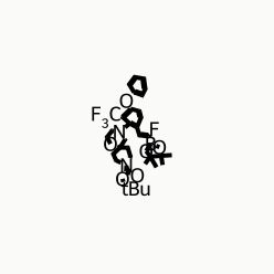 CC(C)(C)OC(=O)N1CCC2(CC1)CN(c1c(/C=C(\F)B3OC(C)(C)C(C)(C)O3)ccc(Oc3ccccc3)c1C(F)(F)F)CCO2